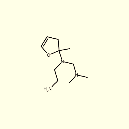 CN(C)CN(CCN)C1(C)CC=CO1